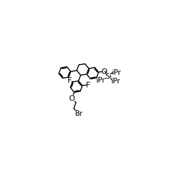 CC(C)[Si](Oc1ccc2c(c1)CCC(c1ccccc1)C2c1c(F)cc(OCCBr)cc1F)(C(C)C)C(C)C